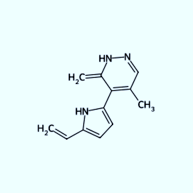 C=Cc1ccc(C2=C(C)C=NNC2=C)[nH]1